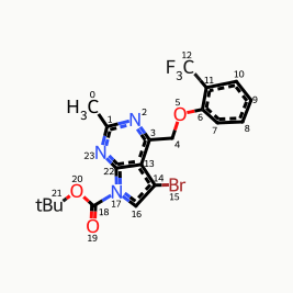 Cc1nc(COc2ccccc2C(F)(F)F)c2c(Br)cn(C(=O)OC(C)(C)C)c2n1